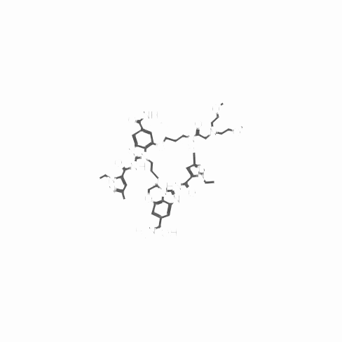 CCn1nc(C)cc1C(=O)Nc1nc2cc(C(N)=O)cc(OCCCNC(=O)CN(CCOC)CCOC)c2n1CCC[C@H]1COc2cc(C(N)O)cc3nc(NC(=O)c4cc(C)nn4CC)n1c23